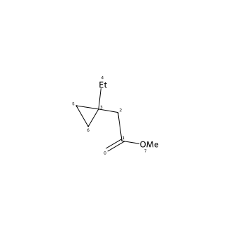 C=C(CC1(CC)CC1)OC